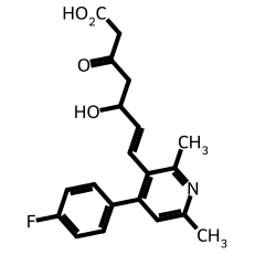 Cc1cc(-c2ccc(F)cc2)c(C=CC(O)CC(=O)CC(=O)O)c(C)n1